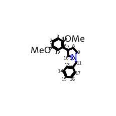 COc1ccc(OC)c(C2[CH]CN(Cc3ccccc3)C2)c1